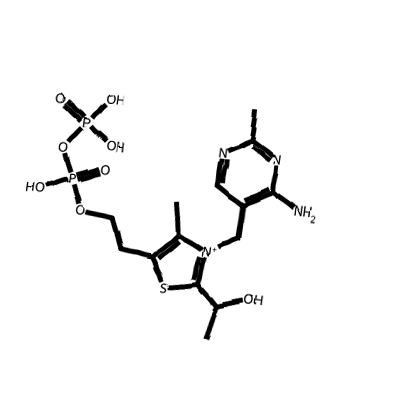 Cc1ncc(C[n+]2c(C(C)O)sc(CCOP(=O)(O)OP(=O)(O)O)c2C)c(N)n1